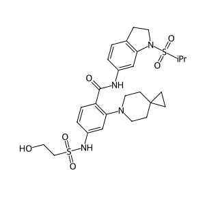 CC(C)S(=O)(=O)N1CCc2ccc(NC(=O)c3ccc(NS(=O)(=O)CCO)cc3N3CCC4(CC3)CC4)cc21